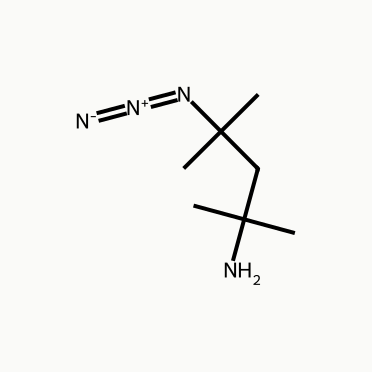 CC(C)(N)CC(C)(C)N=[N+]=[N-]